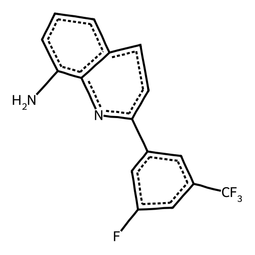 Nc1cccc2ccc(-c3cc(F)cc(C(F)(F)F)c3)nc12